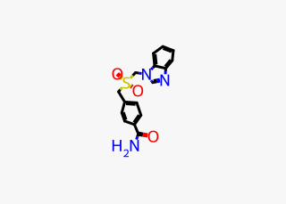 NC(=O)c1ccc(CS(=O)(=O)Cn2cnc3ccccc32)cc1